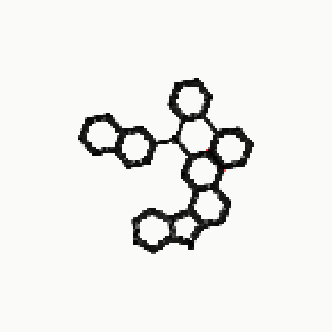 c1ccc(-c2ccccc2N(c2ccc3ccccc3c2)c2ccc3ccc4sc5ccccc5c4c3c2)cc1